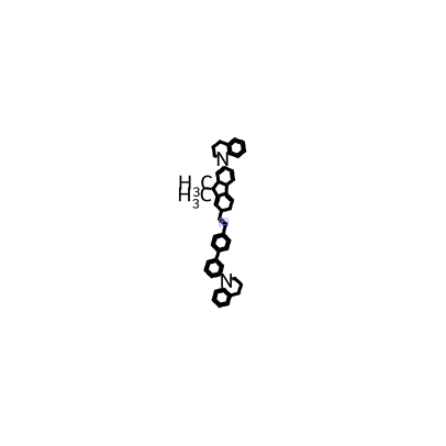 CC1(C)C2=CC(/C=C/c3ccc(-c4cccc(N5CCCc6ccccc65)c4)cc3)CC=C2C2C=CC(N3CCCc4ccccc43)=CC21